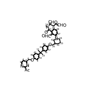 CC(=O)c1nccc(COc2ccc(C(C)(C)c3ccc(OCC4CCCN(c5cccc(C(=O)N(C)C(C=O)CCC=O)c5C=O)C4)cc3)cc2)n1